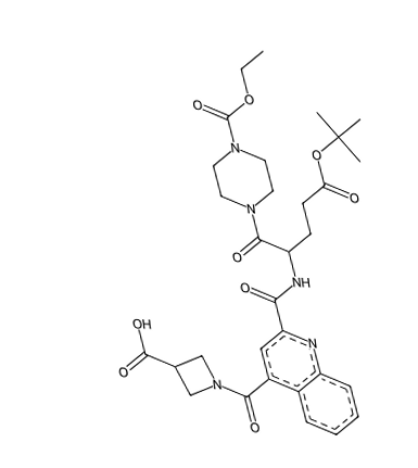 CCOC(=O)N1CCN(C(=O)C(CCC(=O)OC(C)(C)C)NC(=O)c2cc(C(=O)N3CC(C(=O)O)C3)c3ccccc3n2)CC1